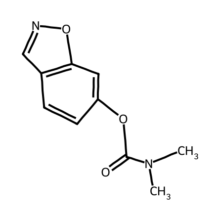 CN(C)C(=O)Oc1ccc2cnoc2c1